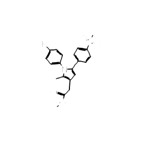 COC(=O)Cc1cc(-c2ccc(S(C)(=O)=O)cc2)n(-c2ccc(F)cc2)c1C